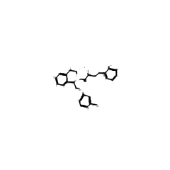 NC(CCc1ccccc1F)C(=O)N1CCc2ccccc2C1COc1cccc(F)c1